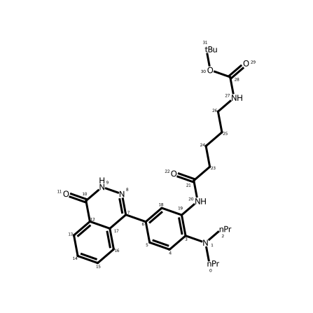 CCCN(CCC)c1ccc(-c2n[nH]c(=O)c3ccccc23)cc1NC(=O)CCCCNC(=O)OC(C)(C)C